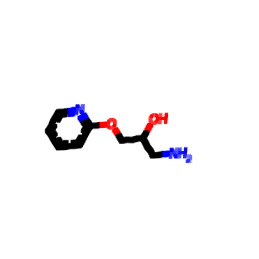 NCC(O)COc1ccccn1